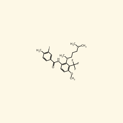 COc1ccc(NC(=O)c2ccc(C)c(I)c2)c(N(C)CCCN(C)C)c1C(F)(F)F